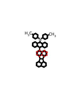 Cc1ccc(N(c2ccc(C)cc2)c2c3ccccc3c(-c3ccc4c5c(cccc35)C35c6cccc7cccc(c67)C43c3cccc4cccc5c34)c3ccccc23)cc1